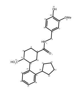 COc1cc(CNC(=O)C2CCN(C(=O)O)C(c3ccccc3C3CCCC3)C2)ccc1O